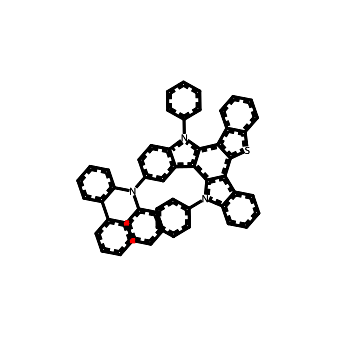 c1ccc(-c2ccccc2N(c2ccccc2)c2ccc3c(c2)c2c4c(c5ccccc5n4-c4ccccc4)c4sc5ccccc5c4c2n3-c2ccccc2)cc1